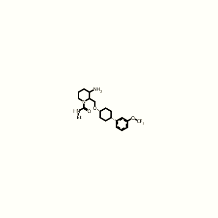 CCNC(=O)N1CCCC(N)C1CO[C@H]1CC[C@@H](c2cccc(OC(F)(F)F)c2)CC1